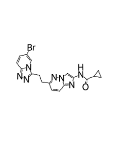 O=C(Nc1cn2nc(CCc3nnc4ccc(Br)cn34)ccc2n1)C1CC1